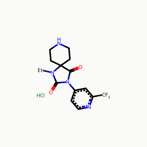 CCN1C(=O)N(c2ccnc(C(F)(F)F)c2)C(=O)C12CCNCC2.Cl